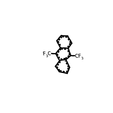 FC(F)(F)c1c2ccccc2c(C(F)(F)F)c2ccccc12